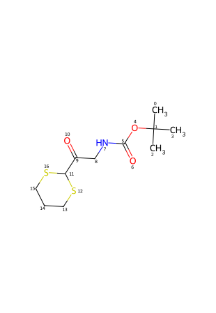 CC(C)(C)OC(=O)NCC(=O)C1SCCCS1